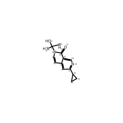 BC(B)(O)n1ccc2cc(C3CC3)ncc2c1=O